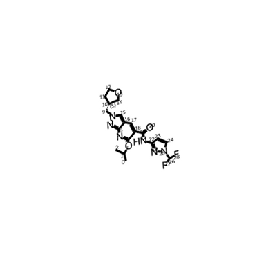 CC(C)Oc1nc2nn(C[C@@H]3CCOC3)cc2cc1C(=O)Nc1ccn(C(F)F)n1